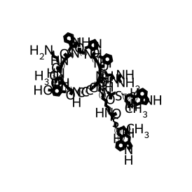 C[C@@H](O)[C@@H]1NC(=O)[C@H](CCCCN)NC(=O)[C@@H](Cc2c[nH]c3ccccc23)NC(=O)[C@H](Cc2ccncc2)NC(=O)[C@H](Cc2ccccc2)NC(=O)[C@H](CCCNC(=N)N)NC(=O)[C@H](NC[C@H](CCCCNC(=O)CSC[C@@H]2C[C@@H]3c4cccc5[nH]cc(c45)C[C@H]3N(C)C2)NC(=O)CSC[C@@H]2C[C@@H]3c4cccc5[nH]cc(c45)C[C@H]3N(C)C2)CCCCNC(=O)[C@H](Cc2ccc(O)cc2)NC1=O